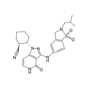 CC(C)CN1Cc2cc(Nc3nn([C@H]4CCCC[C@@H]4C#N)c4cc[nH]c(=O)c34)ccc2S1(=O)=O